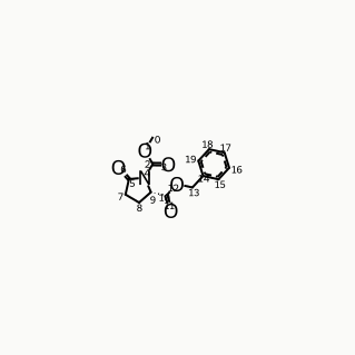 COC(=O)N1C(=O)CC[C@H]1C(=O)OCc1ccccc1